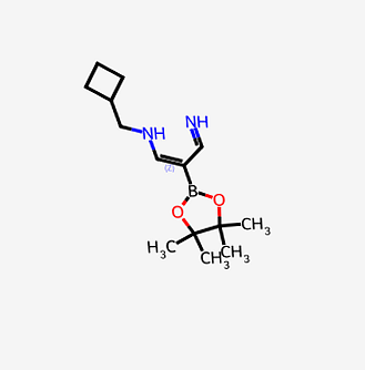 CC1(C)OB(/C(C=N)=C/NCC2CCC2)OC1(C)C